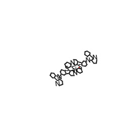 c1ccc([Si](c2ccccc2)(c2nccc3c2sc2ccc(-n4c5ccccc5c5ncccc54)cc23)c2nccc3c2sc2ccc(-n4c5ccccc5c5ncccc54)cc23)cc1